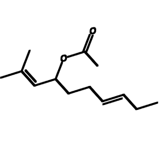 CCC=CCCC(C=C(C)C)OC(C)=O